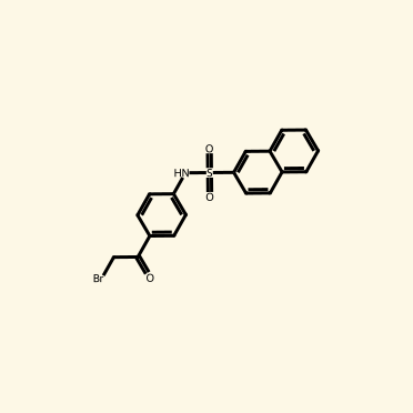 O=C(CBr)c1ccc(NS(=O)(=O)c2ccc3ccccc3c2)cc1